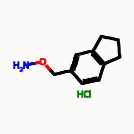 Cl.NOCc1ccc2c(c1)CCC2